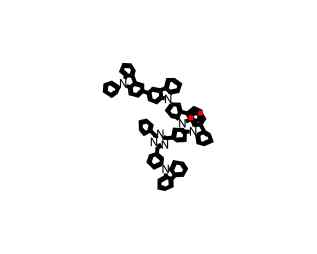 c1ccc(-c2nc(-c3cccc(-n4c5ccccc5c5ccccc54)c3)nc(-c3ccc(-n4c5ccccc5c5ccccc54)c(-n4c5ccccc5c5cc(-n6c7ccccc7c7cc(-c8ccc9c(c8)c8ccccc8n9-c8ccccc8)ccc76)ccc54)c3)n2)cc1